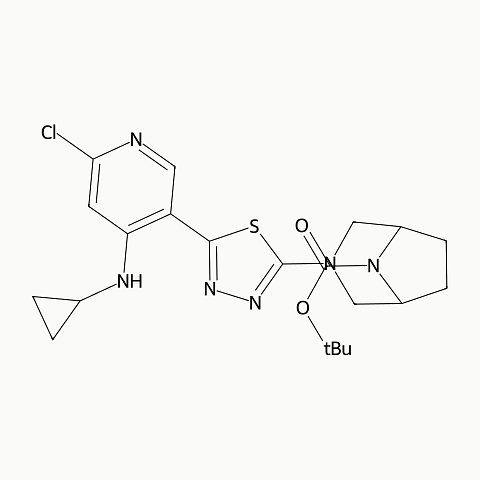 CC(C)(C)OC(=O)N1C2CCC1CN(c1nnc(-c3cnc(Cl)cc3NC3CC3)s1)C2